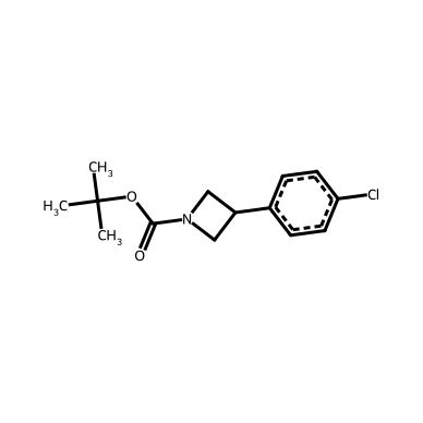 CC(C)(C)OC(=O)N1CC(c2ccc(Cl)cc2)C1